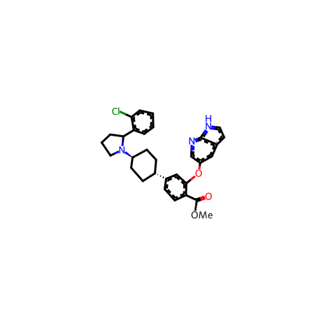 COC(=O)c1ccc([C@H]2CC[C@H](N3CCCC3c3ccccc3Cl)CC2)cc1Oc1cnc2[nH]ccc2c1